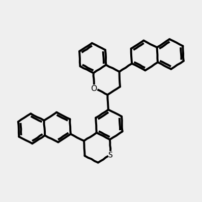 c1ccc2c(c1)OC(c1ccc3c(c1)C(c1ccc4ccccc4c1)CCS3)CC2c1ccc2ccccc2c1